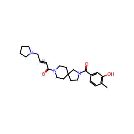 Cc1ccc(C(=O)N2CCC3(CCN(C(=O)/C=C/CN4CCCC4)CC3)C2)cc1O